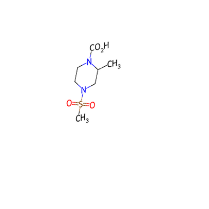 CC1CN(S(C)(=O)=O)CCN1C(=O)O